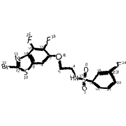 O=S(=O)(NCCOc1cc2sc(Br)nc2c(F)c1F)c1cccc(F)c1